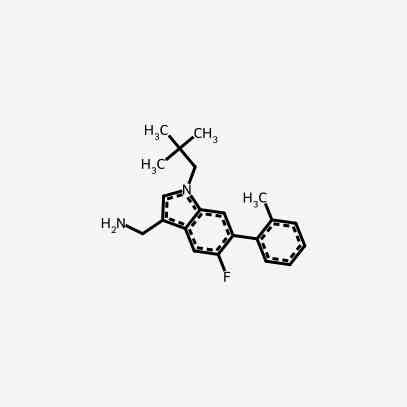 Cc1ccccc1-c1cc2c(cc1F)c(CN)cn2CC(C)(C)C